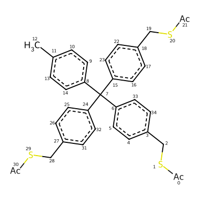 CC(=O)SCc1ccc(C(c2ccc(C)cc2)(c2ccc(CSC(C)=O)cc2)c2ccc(CSC(C)=O)cc2)cc1